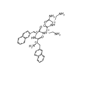 NCC[C@H](NC(=O)[C@H](CCN)NC(=O)[C@H](Cc1ccc2ccccc2c1)NC(=O)[C@H](N)Cc1ccc2ccccc2c1)C(N)=O